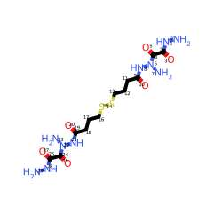 NNC(=O)C(=O)N(N)NC(=O)CCCSSCCCC(=O)NN(N)C(=O)C(=O)NN